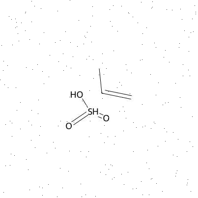 C=CC.O=[SH](=O)O